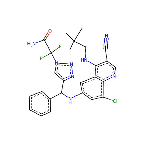 CC(C)(C)CNc1c(C#N)cnc2c(Cl)cc(NC(c3ccccc3)c3cn(C(F)(F)C(N)=O)nn3)cc12